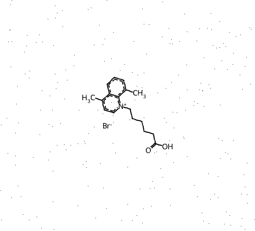 Cc1cc[n+](CCCCCC(=O)O)c2c(C)cccc12.[Br-]